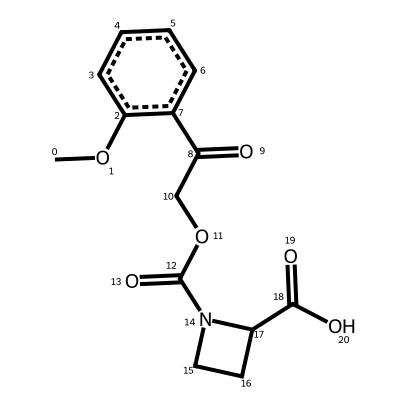 COc1ccccc1C(=O)COC(=O)N1CCC1C(=O)O